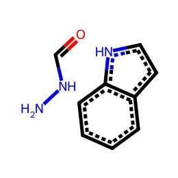 NNC=O.c1ccc2[nH]ccc2c1